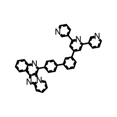 c1cc(-c2ccc(-c3nc4ccccc4c4nc5ccccn5c34)cc2)cc(-c2cc(-c3cccnc3)nc(-c3cccnc3)c2)c1